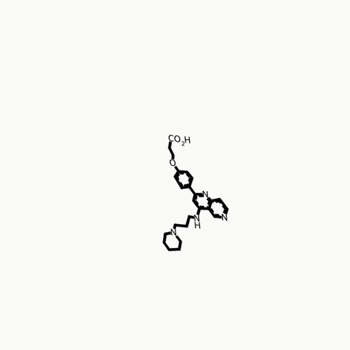 O=C(O)CCOc1ccc(-c2cc(NCCCN3CCCCC3)c3cnccc3n2)cc1